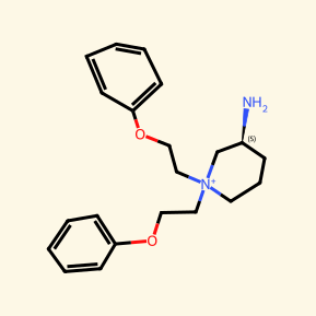 N[C@H]1CCC[N+](CCOc2ccccc2)(CCOc2ccccc2)C1